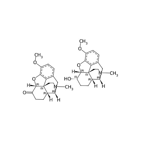 COc1ccc2c3c1O[C@H]1C(=O)CC[C@H]4[C@@H](C2)N(C)CC[C@]314.COc1ccc2c3c1O[C@H]1[C@@H](O)CC[C@H]4[C@@H](C2)N(C)CC[C@@]341